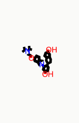 CC(C)N(CCOc1ccc2c(c1)CN(c1cc(O)ccc1C1CCc3cc(O)ccc3C1)C2)C(C)C